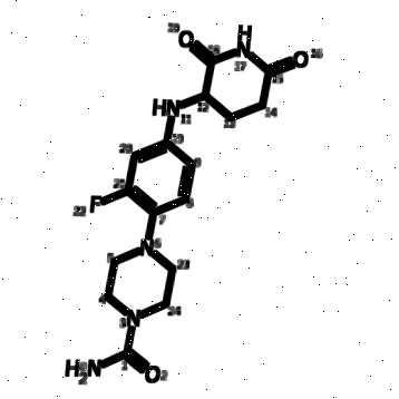 NC(=O)N1CCN(c2ccc(NC3CCC(=O)NC3=O)cc2F)CC1